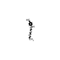 C#Cc1ccc(NOCCOCCOCCC)cc1